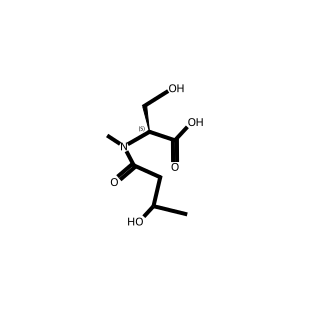 CC(O)CC(=O)N(C)[C@@H](CO)C(=O)O